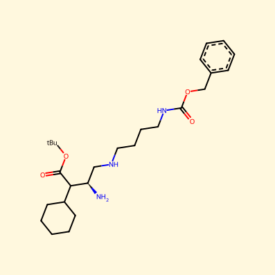 CC(C)(C)OC(=O)C(C1CCCCC1)[C@H](N)CNCCCCNC(=O)OCc1ccccc1